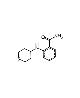 NC(=O)c1ccccc1NC1CCSCC1